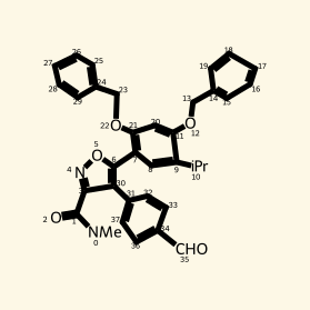 CNC(=O)c1noc(-c2cc(C(C)C)c(OCc3ccccc3)cc2OCc2ccccc2)c1-c1ccc(C=O)cc1